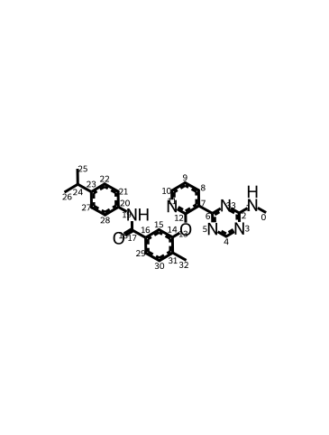 CNc1ncnc(-c2cccnc2Oc2cc(C(=O)Nc3ccc(C(C)C)cc3)ccc2C)n1